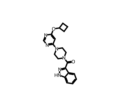 O=C(c1n[nH]c2ccccc12)N1CCN(c2cc(OC3CCC3)ncn2)CC1